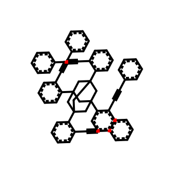 C(#Cc1ccccc1C12CC3(c4ccccc4C#Cc4ccccc4)CC(c4ccccc4C#Cc4ccccc4)(C1)CC(c1ccccc1C#Cc1ccccc1)(C2)C3)c1ccccc1